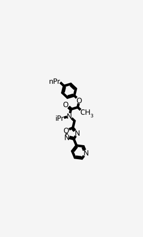 CCCc1ccc(OC(C)C(=O)N(Cc2nc(-c3cccnc3)no2)C(C)C)cc1